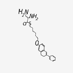 NCC(N)C(=O)SCCCCCCOc1ccc2c(c1)CCC(c1ccccc1)=C2